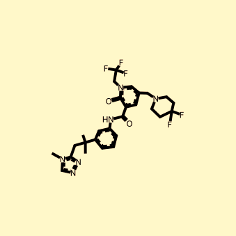 Cn1cnnc1CC(C)(C)c1cccc(NC(=O)c2cc(CN3CCC(F)(F)CC3)cn(CC(F)(F)F)c2=O)c1